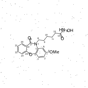 COc1ccc2c(c1)N(CCCCCC(=O)NO)C(=O)c1ccccc1O2